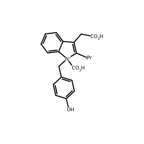 CC(C)C1=C(CC(=O)O)c2ccccc2[N+]1(Cc1ccc(O)cc1)C(=O)O